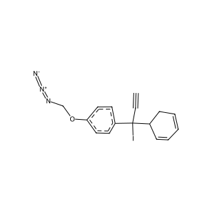 C#CC(I)(c1ccc(OCN=[N+]=[N-])cc1)C1C=CC=CC1